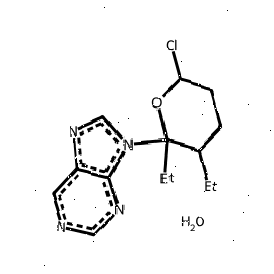 CCC1CCC(Cl)OC1(CC)n1cnc2cncnc21.O